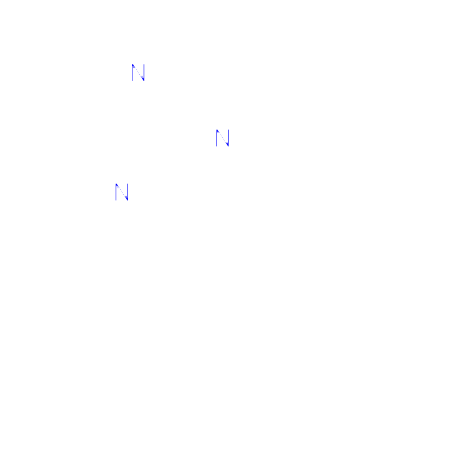 c1ccc(-c2cnc3nccn3c2)cc1